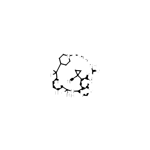 C[C@H]1Nc2ncnc3c2cc(C2(C#N)CC2)c(=O)n3CC(=O)NCCCCN2CCC(CC2)C(F)(F)c2cccc1c2